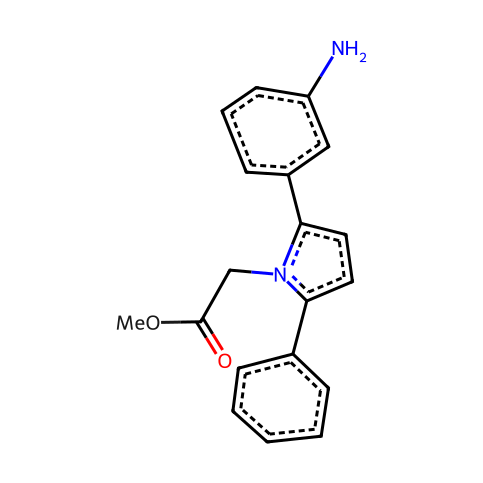 COC(=O)Cn1c(-c2ccccc2)ccc1-c1cccc(N)c1